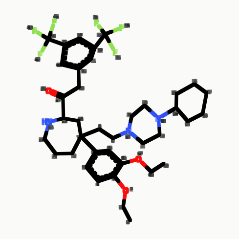 CCOc1ccc(C2(CCN3CCN(C4CCCCC4)CC3)CCCNC(C(=O)Cc3cc(C(F)(F)F)cc(C(F)(F)F)c3)C2)cc1OCC